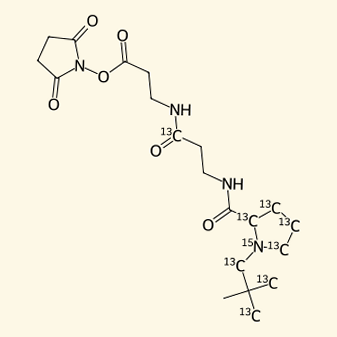 CC([13CH3])([13CH3])[13CH2][15N]1[13CH2][13CH2][13CH2][13CH]1C(=O)NCC[13C](=O)NCCC(=O)ON1C(=O)CCC1=O